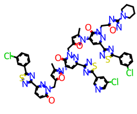 Cc1cc(Cn2nc(-c3nsc(-c4cccc(Cl)c4)n3)ccc2=O)o[n+]1-c1cc(-c2nsc(-c3cncc(Cl)c3)n2)nn(Cc2cc(C)[n+](-c3cc(-c4nsc(-c5cccc(Cl)c5)n4)nn(Cc4nc(N5CCCCC5)no4)c3=O)o2)c1=O